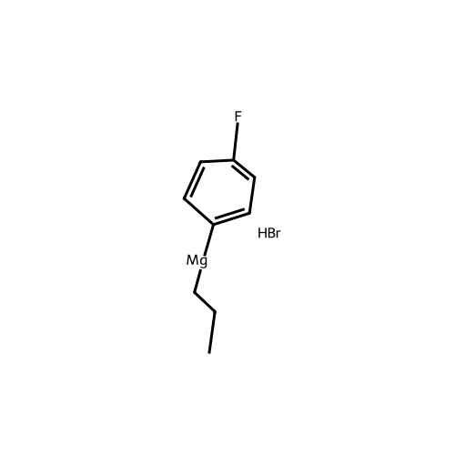 Br.CC[CH2][Mg][c]1ccc(F)cc1